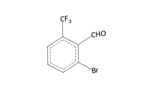 O=Cc1c(Br)cccc1C(F)(F)F